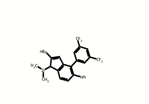 CCCCC1=Cc2c(ccc(CCC)c2-c2cc(C(F)(F)F)cc(C(F)(F)F)c2)[CH]1[Zr]([CH3])[CH3]